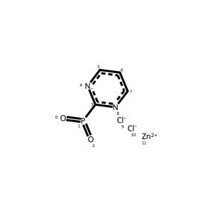 O=P(=O)c1ncccn1.[Cl-].[Cl-].[Zn+2]